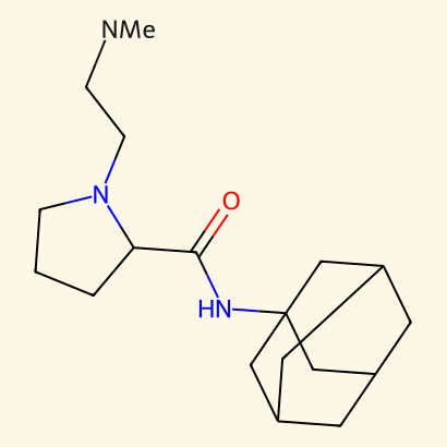 CNCCN1CCCC1C(=O)NC12CC3CC(CC(C3)C1)C2